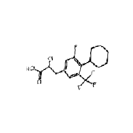 O=C(O)C(Cl)Cc1cc(F)c(C2CCCCC2)c(C(F)(F)F)c1